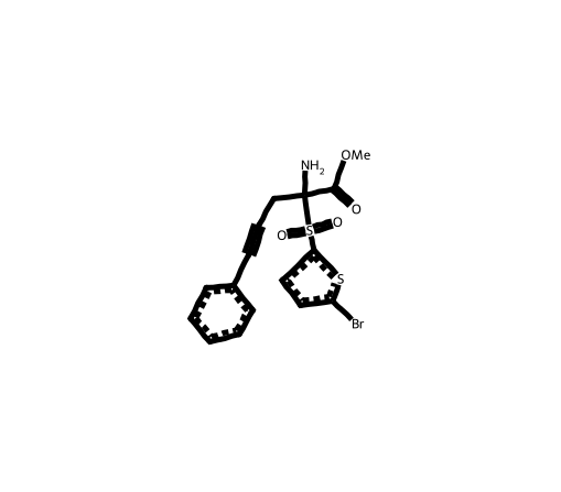 COC(=O)C(N)(CC#Cc1ccccc1)S(=O)(=O)c1ccc(Br)s1